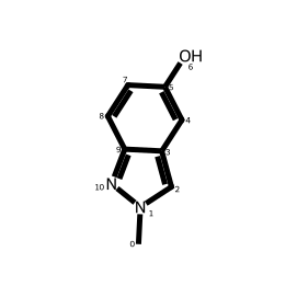 Cn1cc2cc(O)ccc2n1